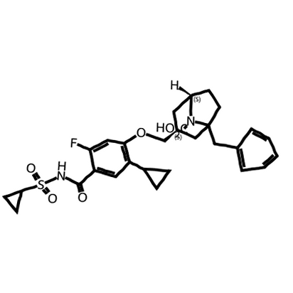 O=C(NS(=O)(=O)C1CC1)c1cc(C2CC2)c(OC[C@H]2C[C@@H]3CCC(Cc4ccccc4)(C2)N3C(=O)O)cc1F